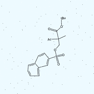 CC(=O)C(C)(COS(=O)(=O)c1ccc2ccccc2c1)C(=O)OC(C)(C)C